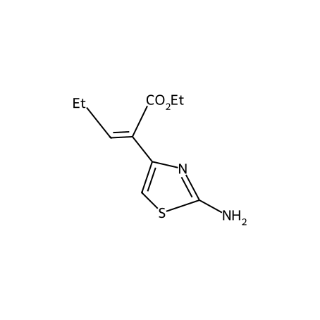 CCC=C(C(=O)OCC)c1csc(N)n1